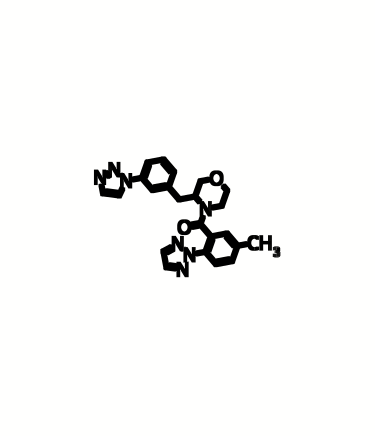 Cc1ccc(-n2nccn2)c(C(=O)N2CCOCC2Cc2cccc(-n3ccnn3)c2)c1